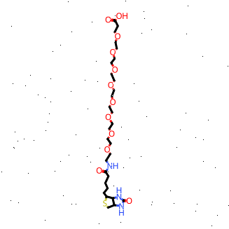 O=C(O)CCOCCOCCOCCOCCOCCOCCOCCOCCNC(=O)CCCCC1SCC2NC(=O)NC21